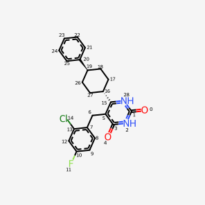 O=c1[nH]c(=O)c(Cc2ccc(F)cc2Cl)c([C@H]2CC[C@H](c3ccccc3)CC2)[nH]1